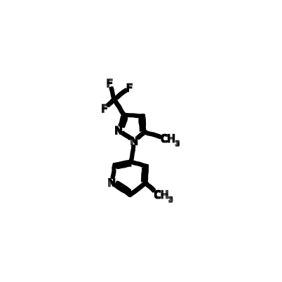 Cc1cncc(-n2nc(C(F)(F)F)cc2C)c1